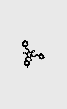 Cc1ccc(C=C2C(=O)N(CCc3ccccc3)C(=O)N(CCc3ccccc3)C2=O)cc1